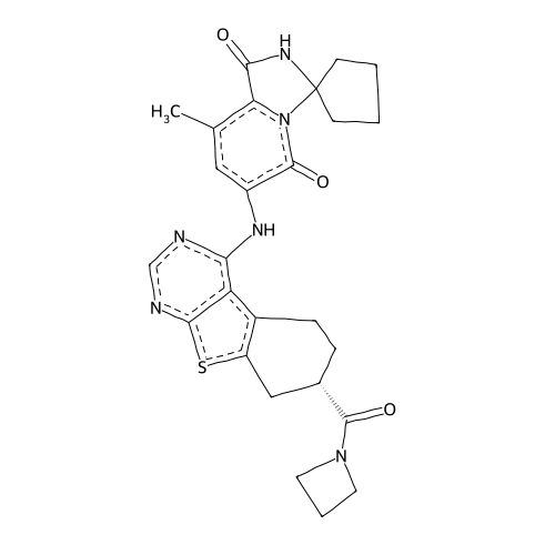 Cc1cc(Nc2ncnc3sc4c(c23)CC[C@H](C(=O)N2CCC2)C4)c(=O)n2c1C(=O)NC21CCCC1